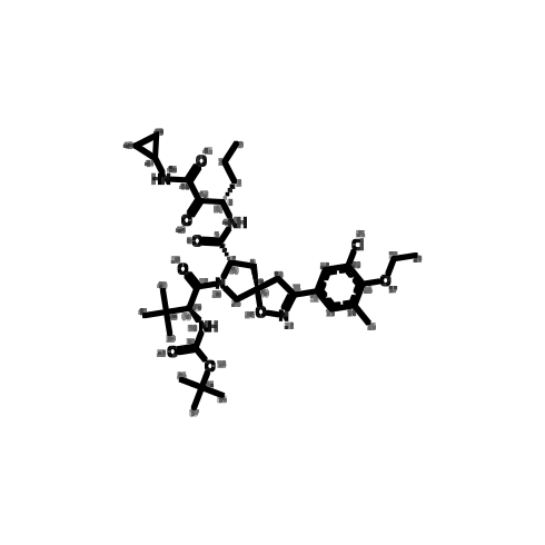 CCC[C@H](NC(=O)[C@@H]1C[C@]2(CC(c3cc(C)c(OCC)c(Cl)c3)=NO2)CN1C(=O)[C@@H](NC(=O)OC(C)(C)C)C(C)(C)C)C(=O)C(=O)NC1CC1